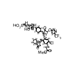 CC(C)N(C(=O)COc1nnc(C(F)(F)F)s1)c1ccc(F)cc1.COC(=O)CSc1cc(/N=c2\sc(=O)n3n2CCCC3)c(F)cc1Cl.O=C(O)CNCP(=O)(O)O